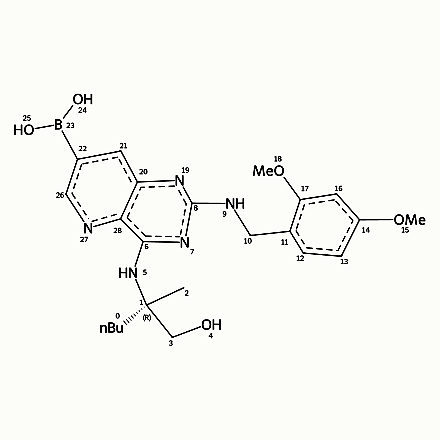 CCCC[C@](C)(CO)Nc1nc(NCc2ccc(OC)cc2OC)nc2cc(B(O)O)cnc12